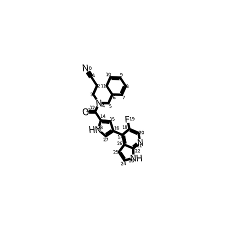 N#CCCN(CC1C=CC=CC1)C(=O)c1cc(-c2c(F)cnc3[nH]ccc23)c[nH]1